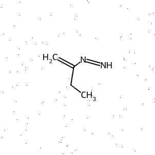 C=C(CC)N=N